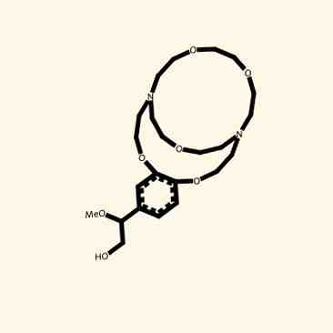 COC(CO)c1ccc2c(c1)OCCN1CCOCCOCCN(CCOCC1)CCO2